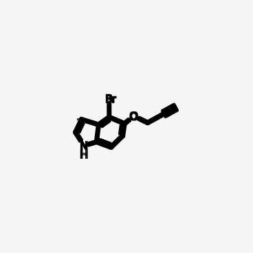 C#CCOc1ccc2[nH]c[c]c2c1Br